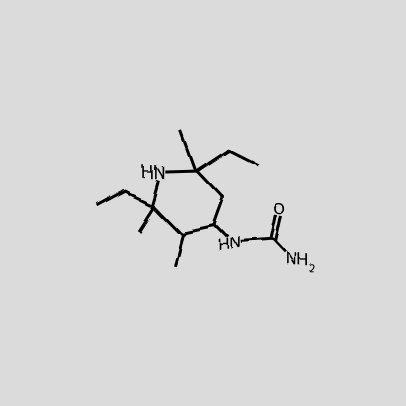 CCC1(C)CC(NC(N)=O)C(C)C(C)(CC)N1